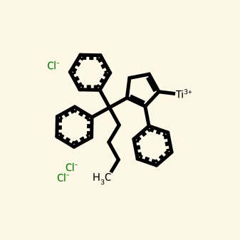 CCCCC(C1=C(c2ccccc2)[C]([Ti+3])=CC1)(c1ccccc1)c1ccccc1.[Cl-].[Cl-].[Cl-]